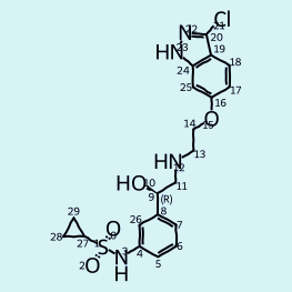 O=S(=O)(Nc1cccc([C@@H](O)CNCCOc2ccc3c(Cl)n[nH]c3c2)c1)C1CC1